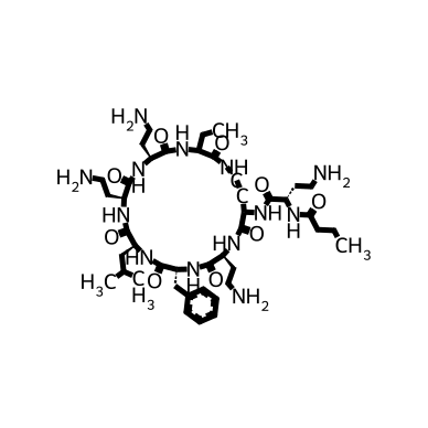 CCCC(=O)N[C@@H](CCN)C(=O)NC1CCNC(=O)C(CC)NC(=O)[C@H](CCN)NC(=O)[C@H](CCN)NC(=O)[C@H](CC(C)C)NC(=O)[C@@H](Cc2ccccc2)NC(=O)[C@H](CCN)NC1=O